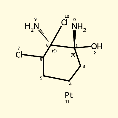 N[C@@]1(O)CCCC(Cl)[C@@]1(N)Cl.[Pt]